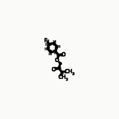 CC(C)C(=O)COC(=O)c1ccc(F)cc1